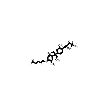 CCC(CC)(c1ccc(C#CC(O)C(C)(C)C)c(C)c1)c1ccc(OC[C@@H](O)CCC(=O)O)c(C)c1